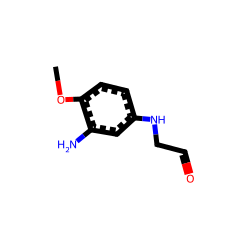 COc1ccc(NCC=O)cc1N